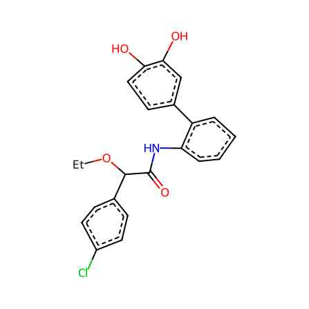 CCOC(C(=O)Nc1ccccc1-c1ccc(O)c(O)c1)c1ccc(Cl)cc1